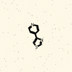 [c]1nc(-c2ccncc2)cs1